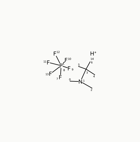 CN(C)C(C)(C)C.F[P-](F)(F)(F)(F)F.[H+]